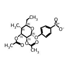 CC[C@H]1O[C@H](Oc2ccc([N+](=O)[O-])cc2)[C@@H](OC(C)=O)[C@@H](OC(C)=O)[C@@H]1C